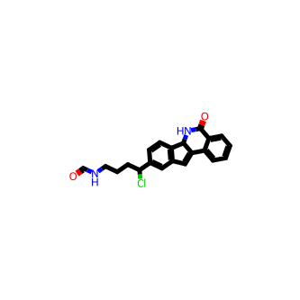 O=CNCCCC(Cl)c1ccc2c(c1)C=C1c3ccccc3C(=O)NC12